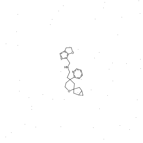 c1ccc(C2(CCNCc3scc4c3OCC4)CCOC3(CC4CC4C3)C2)nc1